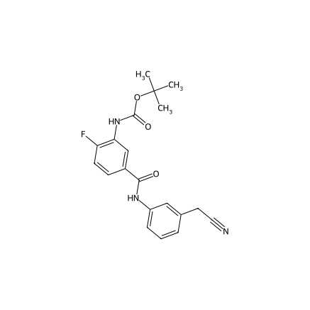 CC(C)(C)OC(=O)Nc1cc(C(=O)Nc2cccc(CC#N)c2)ccc1F